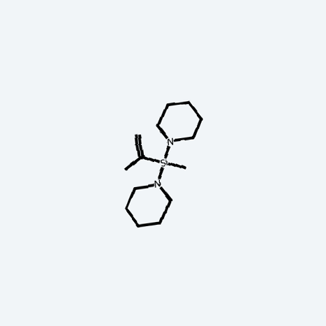 C=C(C)[Si](C)(N1CCCCC1)N1CCCCC1